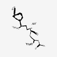 CCCC(OC(=O)CC)OC(=O)NCCC(C(=O)[O-])c1ccc(Cl)cc1.[Na+]